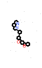 c1cc(-c2ccc3oc4cc5oc6ccccc6c5cc4c3c2)cc(-c2ccc3ccc4cccnc4c3n2)c1